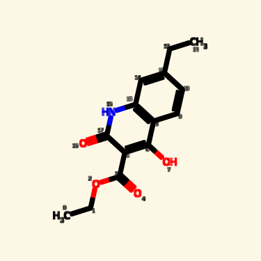 CCOC(=O)c1c(O)c2ccc(CC)cc2[nH]c1=O